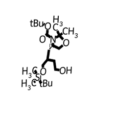 CC(C)(C)OC(=O)N1[C@@H](CC(CCO)CO[Si](C)(C)C(C)(C)C)COC1(C)C